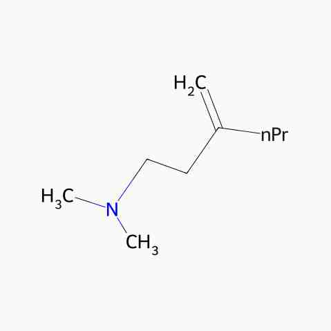 C=C(CCC)CCN(C)C